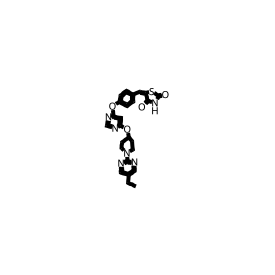 CCc1cnc(N2CCC(Oc3cc(Oc4ccc(C=C5SC(=O)NC5=O)cc4)ncn3)CC2)nc1